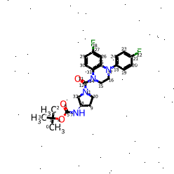 CC(C)(C)OC(=O)N[C@H]1CCN(C(=O)N2CCN(c3ccc(F)cc3)c3cc(F)ccc32)C1